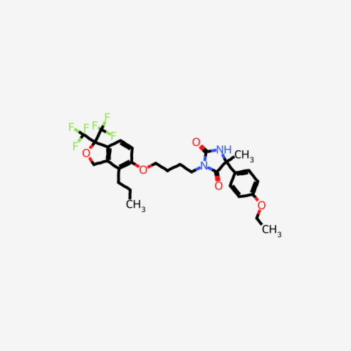 CCCc1c(OCCCCN2C(=O)NC(C)(c3ccc(OCC)cc3)C2=O)ccc2c1COC2(C(F)(F)F)C(F)(F)F